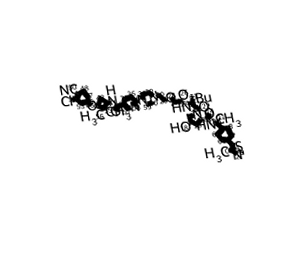 Cc1ncsc1-c1ccc([C@H](C)NC(=O)[C@@H]2C[C@@H](O)CN2C(=O)C(NC(=O)COCCN2CCN(c3ccc(C(=O)N[C@H]4CC(Oc5ccc(C#N)c(Cl)c5)C4(C)C)cn3)CC2)C(C)(C)C)cc1